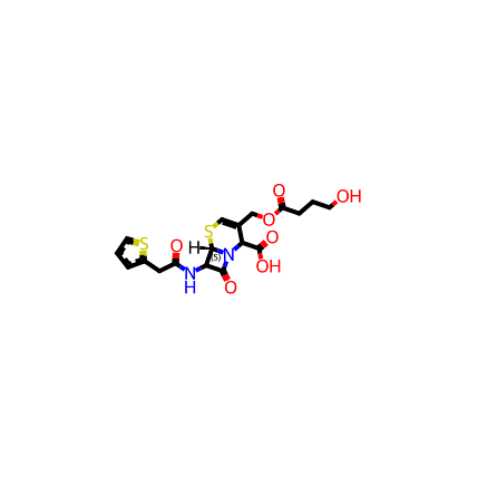 O=C(Cc1cccs1)NC1C(=O)N2C(C(=O)O)C(COC(=O)CCCO)=CS[C@@H]12